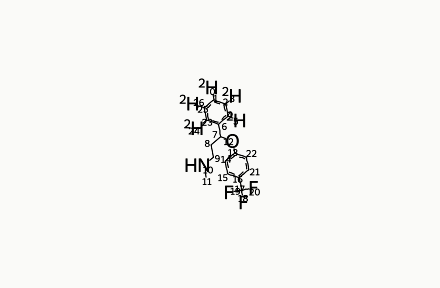 [2H]c1c([2H])c([2H])c(C(CCNC)Oc2ccc(C(F)(F)F)cc2)c([2H])c1[2H]